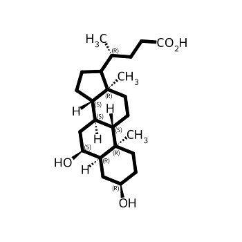 C[C@H](CCC(=O)O)C1CC[C@H]2[C@@H]3C[C@H](O)[C@@H]4C[C@H](O)CC[C@]4(C)[C@H]3CC[C@]12C